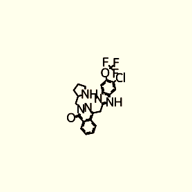 O=c1c2ccccc2c(Cc2nc3cc(OC(F)(F)F)c(Cl)cc3[nH]2)nn1CC1CCCN1